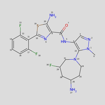 Cn1ncc(NC(=O)c2nc(-c3c(F)cccc3F)sc2N)c1N1CCC(N)CC(F)C1